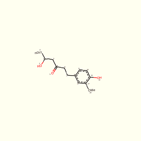 CCCCCCCCC(O)CC(=O)CCc1ccc(O)c(OC)c1